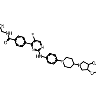 N#CCNC(=O)c1ccc(-c2nc(Nc3ccc(N4CCC(N5CC6OCCOC6C5)CC4)cc3)ncc2F)cc1